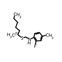 CCCCC[C@@H](C)SCNc1ccc(C)cc1F